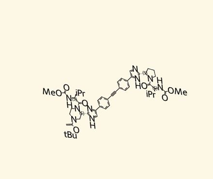 C=C(OC(C)(C)C)N1CCN(C(=O)[C@@H](NC(=O)OC)C(C)C)[C@H](c2nc(-c3ccc(C#Cc4ccc(-c5cnc([C@@H]6CCCN6C(=O)[C@@H](NC(=O)OC)C(C)C)[nH]5)cc4)cc3)c[nH]2)C1